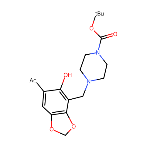 CC(=O)c1cc2c(c(CN3CCN(C(=O)OC(C)(C)C)CC3)c1O)OCO2